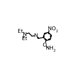 CCN(CC)CC/N=C/c1cc([N+](=O)[O-])ccc1ON